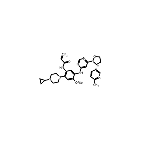 C=CC(=O)Nc1cc(Nc2cc(N3OCC[C@@H]3c3ccc(C)nc3)ncn2)c(OC)cc1N1CCN(C2CC2)CC1